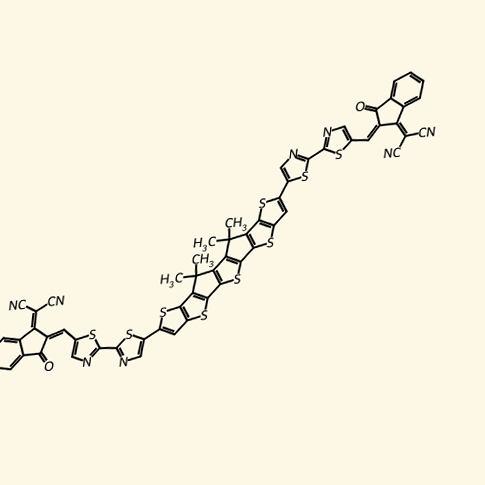 CC1(C)c2c(sc3c2C(C)(C)c2c-3sc3cc(-c4cnc(-c5ncc(/C=C6\C(=O)c7ccccc7C6=C(C#N)C#N)s5)s4)sc23)-c2sc3cc(-c4cnc(-c5ncc(/C=C6\C(=O)c7ccccc7C6=C(C#N)C#N)s5)s4)sc3c21